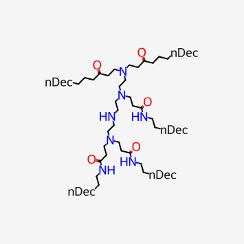 CCCCCCCCCCCCCC(=O)CCN(CCC(=O)CCCCCCCCCCCCC)CCN(CCNCCN(CCC(=O)NCCCCCCCCCCCC)CCC(=O)NCCCCCCCCCCCC)CCC(=O)NCCCCCCCCCCCC